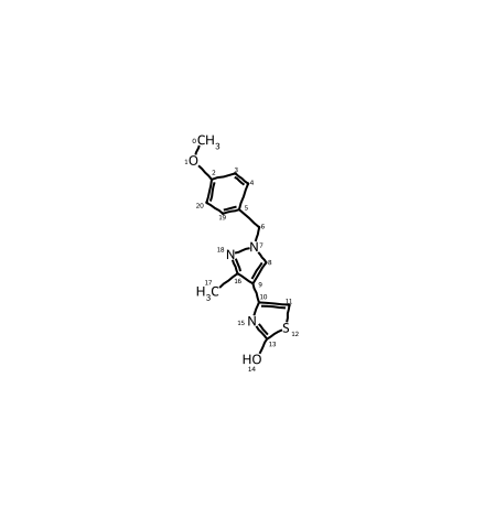 COc1ccc(Cn2cc(-c3csc(O)n3)c(C)n2)cc1